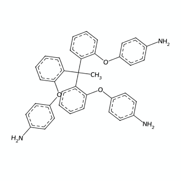 CC(c1ccccc1Oc1ccc(N)cc1)(c1ccccc1Oc1ccc(N)cc1)c1ccccc1Oc1ccc(N)cc1